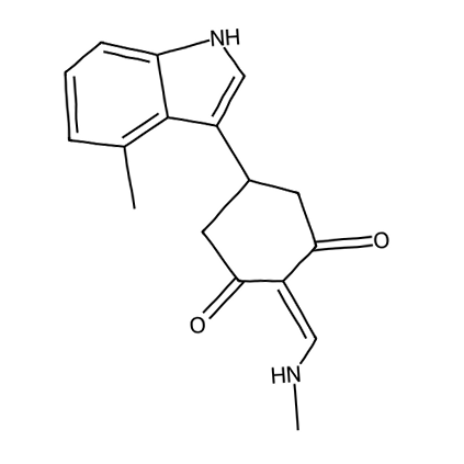 CNC=C1C(=O)CC(c2c[nH]c3cccc(C)c23)CC1=O